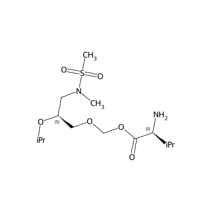 CC(C)O[C@H](COCOC(=O)[C@@H](N)C(C)C)CN(C)S(C)(=O)=O